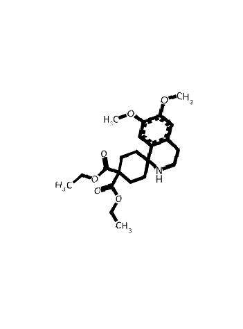 CCOC(=O)C1(C(=O)OCC)CCC2(CC1)NCCc1cc(OC)c(OC)cc12